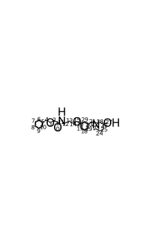 O=C(COCc1ccccc1)NCCCOc1cccc(CN2CCCC(O)C2)c1